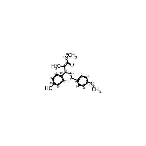 COC(=O)C(C)C(SCc1ccc(OC)cc1)c1ccc(O)cc1